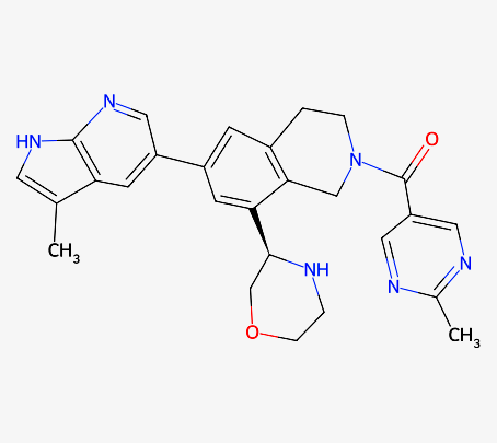 Cc1ncc(C(=O)N2CCc3cc(-c4cnc5[nH]cc(C)c5c4)cc([C@@H]4COCCN4)c3C2)cn1